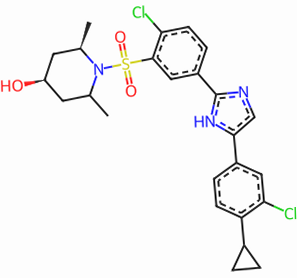 CC1C[C@@H](O)C[C@@H](C)N1S(=O)(=O)c1cc(-c2ncc(-c3ccc(C4CC4)c(Cl)c3)[nH]2)ccc1Cl